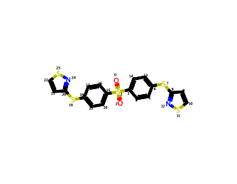 O=S(=O)(c1ccc(Sc2ccsn2)cc1)c1ccc(Sc2ccsn2)cc1